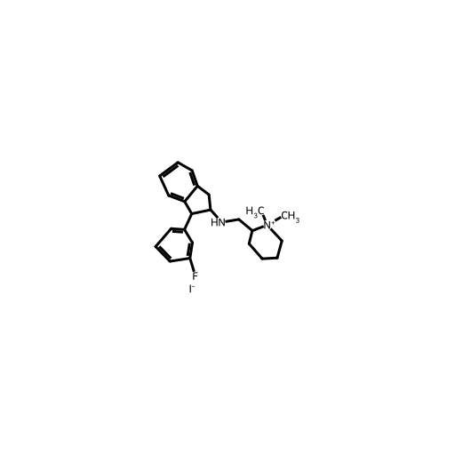 C[N+]1(C)CCCCC1CNC1Cc2ccccc2C1c1cccc(F)c1.[I-]